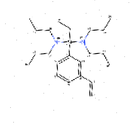 C=Cc1cccc([Si](CC)(N(CCC)CCC)N(CCC)CCC)c1